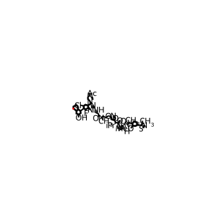 COc1cc(-c2scnc2C)ccc1[C@H](C)NC(=O)[C@@H]1CCCN1C(=O)C(c1cc(OCCN(C)C(=O)CCNc2nc(N3CCN(C(C)=O)CC3)c3cc(Cl)c(-c4cc(O)cc5ccccc45)c(F)c3n2)no1)C(C)C